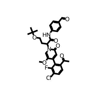 COc1cn(C(CCOC(C)(C)C)C(=O)Nc2ccc(C=O)cc2)c(=O)cc1-c1c(C(C)=O)ccc(Cl)c1F